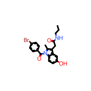 CCCNC(=O)Cc1c(C)n(C(=O)c2ccc(Br)cc2)c2ccc(O)cc12